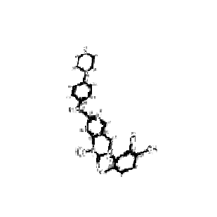 CN1C(=O)N(c2c(Cl)ccc(O)c2Cl)Cc2cnc(Nc3ccc(N4CCOCC4)cc3)nc21